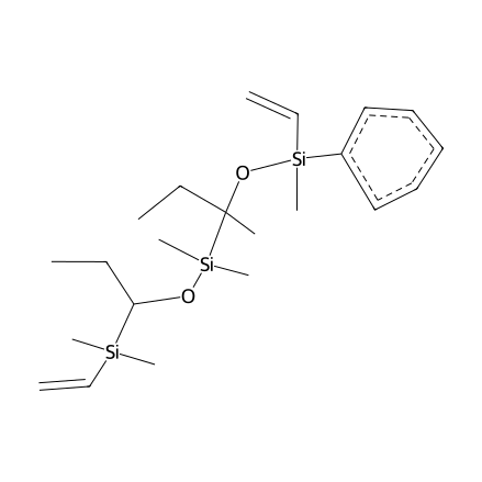 C=C[Si](C)(OC(C)(CC)[Si](C)(C)OC(CC)[Si](C)(C)C=C)c1ccccc1